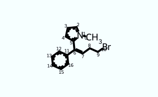 Cn1cccc1C(=CCCBr)c1ccccc1